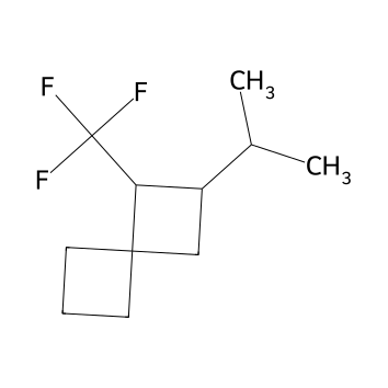 CC(C)C1CC2(CCC2)C1C(F)(F)F